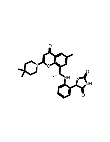 Cc1cc([C@@H](C)Nc2ccccc2C2SC(=O)NC2=O)c2oc(N3CCC(C)(C)CC3)cc(=O)c2c1